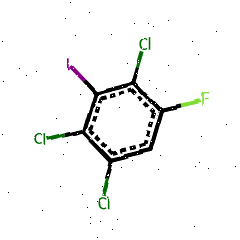 Fc1cc(Cl)c(Cl)c(I)c1Cl